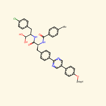 CCCCCCCOc1ccc(-c2cnc(-c3ccc(C[C@H](NC(=O)c4ccc(C(C)(C)C)cc4)C(=O)NC(Cc4ccc(Cl)cc4)C(O)O)cc3)nc2)cc1